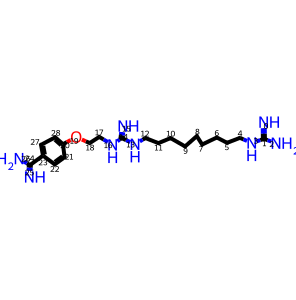 N=C(N)NCCCCCCCCCNC(=N)NCCOc1ccc(C(=N)N)cc1